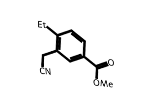 CCc1ccc(C(=O)OC)cc1CC#N